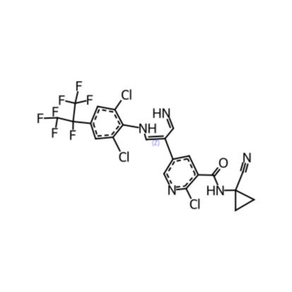 N#CC1(NC(=O)c2cc(/C(C=N)=C/Nc3c(Cl)cc(C(F)(C(F)(F)F)C(F)(F)F)cc3Cl)cnc2Cl)CC1